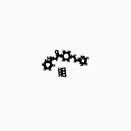 Cl.Cl.Cl.O=C(CNc1ccccc1)N1CCN(CCc2nccs2)CC1